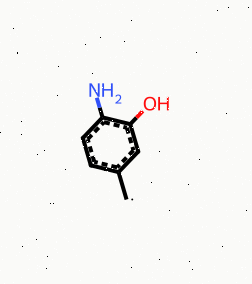 [CH2]c1ccc(N)c(O)c1